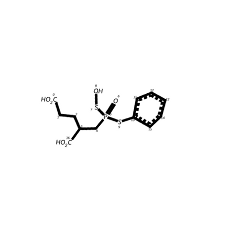 O=C(O)CCC(CP(=O)(SO)Sc1ccccc1)C(=O)O